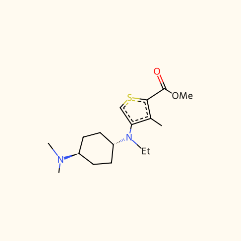 CCN(c1csc(C(=O)OC)c1C)[C@H]1CC[C@H](N(C)C)CC1